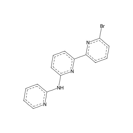 Brc1cccc(-c2cccc(Nc3ccccn3)n2)n1